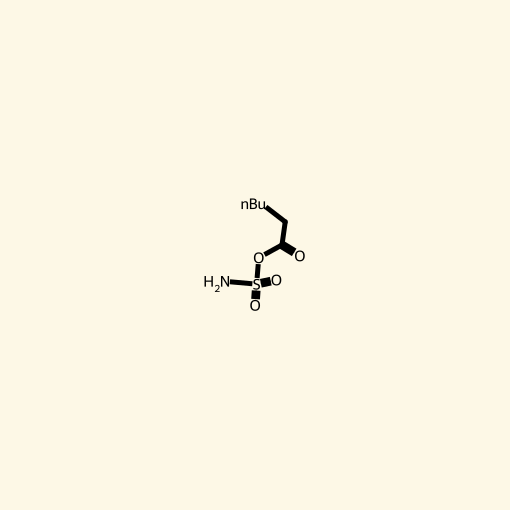 CCCCCC(=O)OS(N)(=O)=O